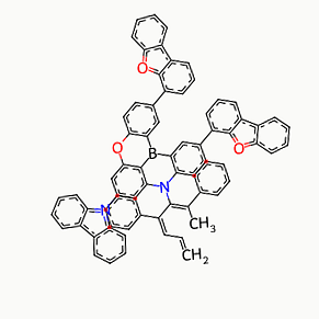 C=C/C=C(\C(=C(/C)c1ccccc1)N1c2ccc(-c3cccc4c3oc3ccccc34)cc2B2c3cc(-c4cccc5c4oc4ccccc45)ccc3Oc3cc(-n4c5ccccc5c5ccccc54)cc1c32)c1ccccc1